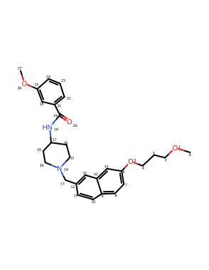 COCCCOc1ccc2ccc(CN3CCC(NC(=O)c4cccc(OC)c4)CC3)cc2c1